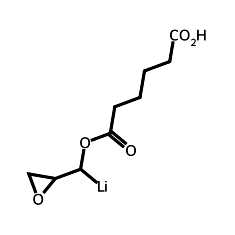 [Li][CH](OC(=O)CCCCC(=O)O)C1CO1